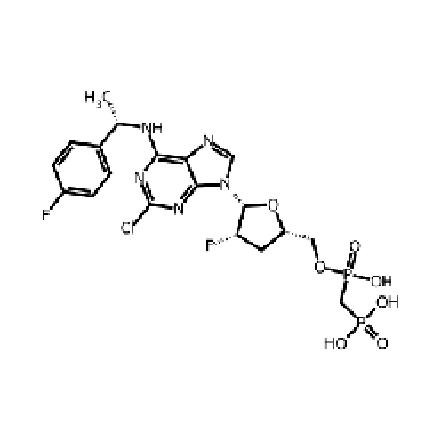 C[C@H](Nc1nc(Cl)nc2c1ncn2[C@@H]1O[C@H](COP(=O)(O)CP(=O)(O)O)C[C@@H]1F)c1ccc(F)cc1